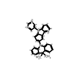 CC1(C)c2ccccc2N(c2ccc3c(c2)c2ncccc2n3-c2cncnc2)c2ccccc21